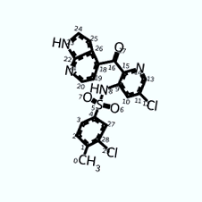 Cc1ccc(S(=O)(=O)Nc2cc(Cl)cnc2C(=O)c2ccnc3[nH]ccc23)cc1Cl